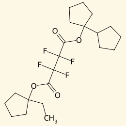 CCC1(OC(=O)C(F)(F)C(F)(F)C(=O)OC2(C3CCCC3)CCCC2)CCCC1